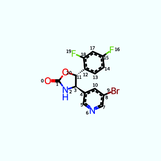 O=C1N[C@H](c2cncc(Br)c2)[C@@H](c2ccc(F)cc2F)O1